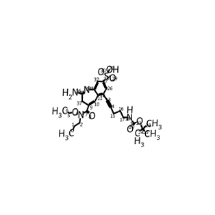 CCCN(OCC)C(=O)C1=Cc2c(C#CCCCNC(=O)OC(C)(C)C)cc(S(=O)(=O)O)cc2N=C(N)C1